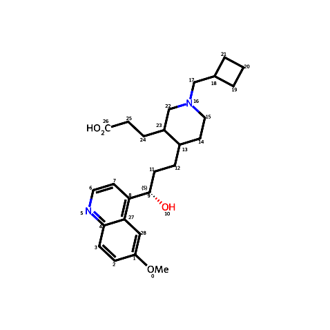 COc1ccc2nccc([C@@H](O)CCC3CCN(CC4CCC4)CC3CCC(=O)O)c2c1